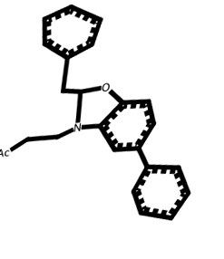 CC(=O)CCN1c2cc(-c3ccccc3)ccc2OC1Cc1ccccc1